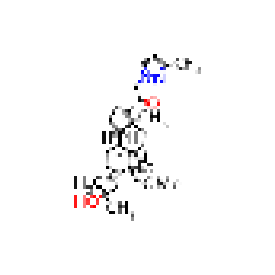 CC[C@@]1(COC)[C@@H](CC(C)(C)O)CC[C@H]2[C@@H]3CC[C@H](C(=O)Cn4ccc(C(F)(F)F)n4)[C@@]3(C)CC[C@@H]21